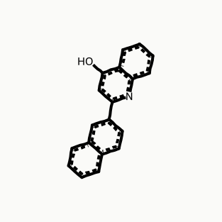 Oc1cc(-c2ccc3ccccc3c2)nc2ccccc12